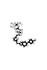 CC(C)(C)OC(=O)NS(=O)(=O)NCc1nnc(Cc2nc3ccc(-c4ccc(F)cc4)cc3s2)o1